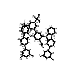 Cc1cc(C)cc(-c2ccc3c4ccccc4n(-c4cc(-c5cc(C(F)(F)F)cc(C(F)(F)F)c5)c(-n5c6ccccc6c6ccc(-c7cc(C)cc(C)c7)cc65)cc4C#N)c3c2)c1